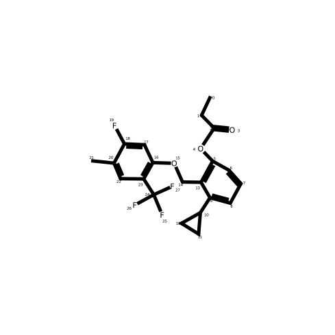 CCC(=O)Oc1cccc(C2CC2)c1COc1cc(F)c(C)cc1C(F)(F)F